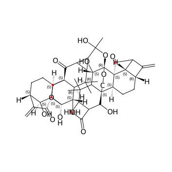 C=C1C2C(=O)[C@]34[C@H]2[C@H]1CC[C@H]3[C@@]12CO[C@]4(OC(C)(O)C3C4C(=O)[C@]56CO[C@](O)([C@@H](O)[C@@H]5C(C)(C)C43)[C@]34C(=O)C(=C)[C@H](CC[C@@H]63)[C@@H]4O)[C@@H](O)[C@@H]1C(C)(C)C1NC(=O)C1C2O